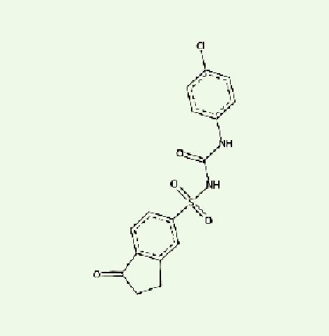 O=C(Nc1ccc(Cl)cc1)NS(=O)(=O)c1ccc2c(c1)CCC2=O